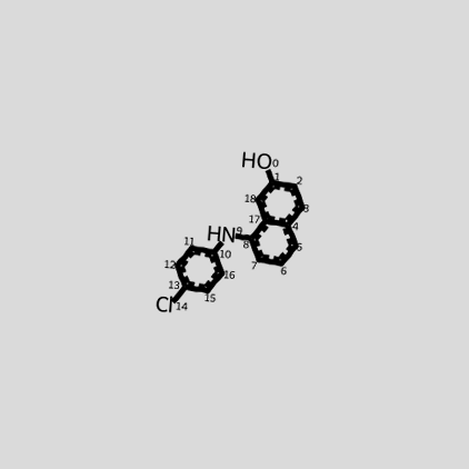 Oc1ccc2cccc(Nc3ccc(Cl)cc3)c2c1